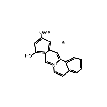 COc1cc(O)c2c[n+]3ccc4ccccc4c3cc2c1.[Br-]